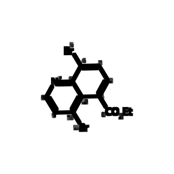 CCOC(=O)c1ccc(Br)c2nccc(Br)c12